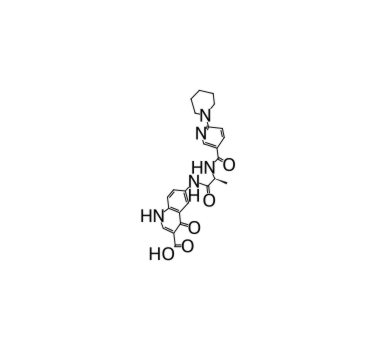 C[C@H](NC(=O)c1ccc(N2CCCCC2)nc1)C(=O)Nc1ccc2[nH]cc(C(=O)O)c(=O)c2c1